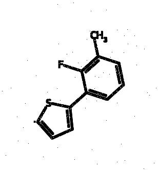 Cc1cccc(-c2cc[c]s2)c1F